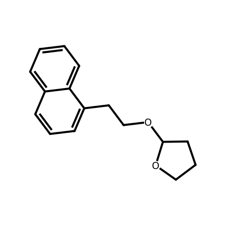 c1ccc2c(CCOC3CCCO3)cccc2c1